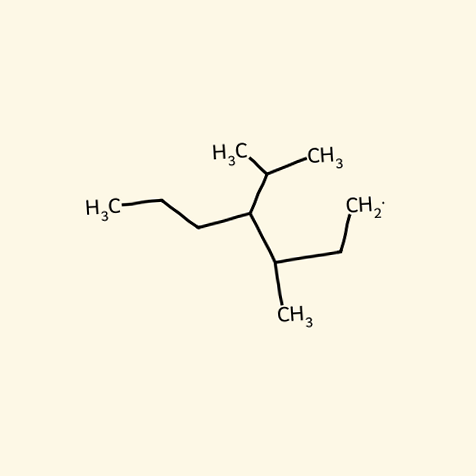 [CH2]CC(C)C(CCC)C(C)C